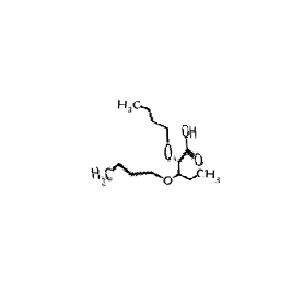 CCCCOC(CC)[C@H](OCCCC)C(=O)O